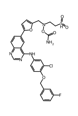 NC(=O)ON(CC[SH](=O)=O)Cc1ccc(-c2ccc3ncnc(Nc4ccc(OCc5cccc(F)c5)c(Cl)c4)c3c2)o1